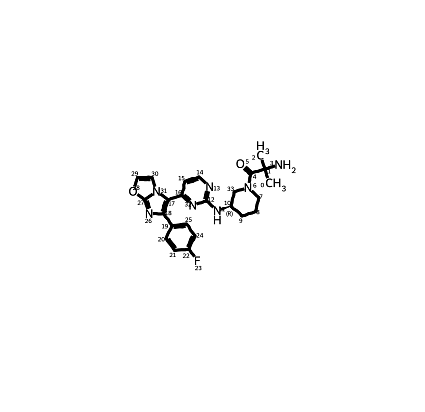 CC(C)(N)C(=O)N1CCC[C@@H](Nc2nccc(-c3c(-c4ccc(F)cc4)nc4occn34)n2)C1